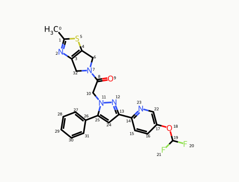 Cc1nc2c(s1)CN(C(=O)Cn1nc(-c3ccc(OC(F)F)cn3)cc1-c1ccccc1)C2